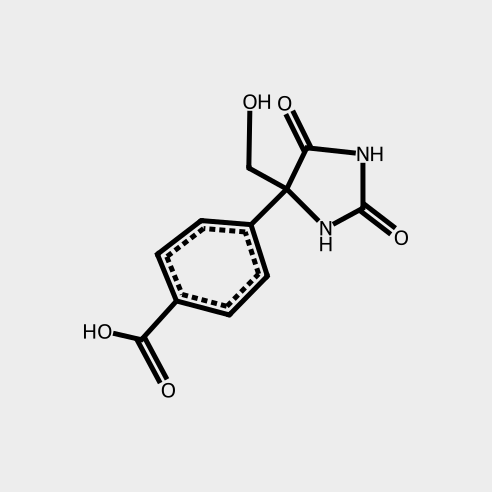 O=C1NC(=O)C(CO)(c2ccc(C(=O)O)cc2)N1